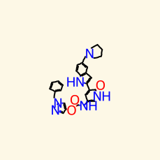 O=C(Nc1c[nH]c(=O)c(-c2cc3cc(CN4CCCCC4)ccc3[nH]2)c1)Oc1cnn(Cc2ccccc2)c1